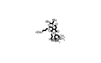 CCCCCCCCCCCCCOC(=O)CC(C(=O)OCCCCCCCCCCCCC)C(CC(=O)OC(CC(C)(C)C)CC(C)(C)C)C(=O)OC1CC(C)(C)NC(C)(C)C1